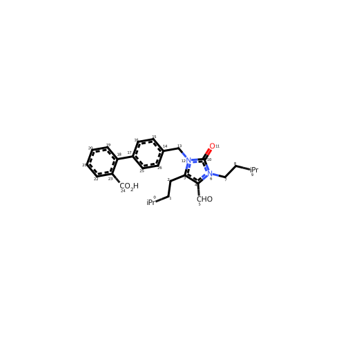 CC(C)CCc1c(C=O)n(CCC(C)C)c(=O)n1Cc1ccc(-c2ccccc2C(=O)O)cc1